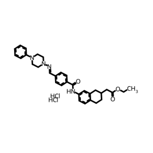 CCOC(=O)CC1CCc2ccc(NC(=O)c3ccc(/C=N/N4CCN(c5ccccc5)CC4)cc3)cc2C1.Cl.Cl